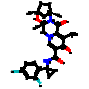 COc1c2n(cc(C(=O)NC3(c4ccc(F)cc4F)CC3)c1=O)C[C@@H]1O[C@H]3CC[C@H](C3)N1C2=O